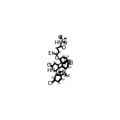 CCC(CCC(=O)NS(C)(=O)=O)Oc1ccc(Cl)cc1[C@@H]1CC(=O)N[C@H](c2cc(Cl)ccc2C)[C@@]12C(=O)N(C(C)=O)c1cc(Cl)ccc12